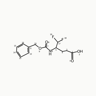 O=C(O)CCC(NC(=O)OCc1ccccc1)C(F)F